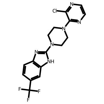 FC(F)(F)c1ccc2nc(N3CCN(c4nccnc4Cl)CC3)[nH]c2c1